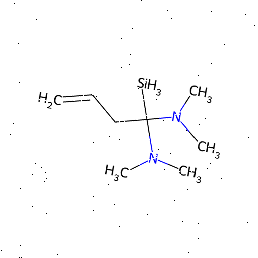 C=CCC([SiH3])(N(C)C)N(C)C